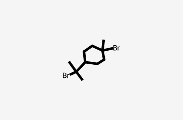 CC1(Br)CCC(C(C)(C)Br)CC1